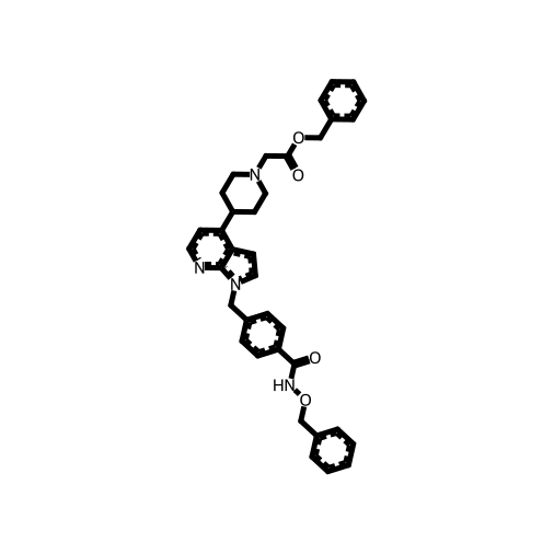 O=C(CN1CCC(c2ccnc3c2ccn3Cc2ccc(C(=O)NOCc3ccccc3)cc2)CC1)OCc1ccccc1